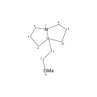 COCCC12CCCN1CCC2